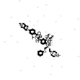 CN1CC2CN(c3ccc(C(=O)NS(=O)(=O)c4ccc(N[C@H](CCN5CCNCC5)CSc5ccccc5)c(S(=O)(=O)C(F)(F)F)c4)cc3)CC2C1